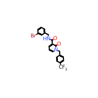 O=C(NCc1cccc(Br)c1)c1cccn(Cc2ccc(C(F)(F)F)cc2)c1=O